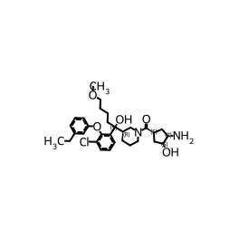 CCc1cccc(Oc2c(Cl)cccc2[C@](O)(CCCCOC)[C@@H]2CCCN(C(=O)[C@H]3C[C@@H](N)[C@@H](O)C3)C2)c1